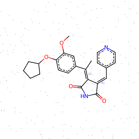 COc1cc(/C(C)=C2\C(=O)NC(=O)\C2=C\c2ccncc2)ccc1OC1CCCC1